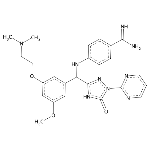 COc1cc(OCCN(C)C)cc(C(Nc2ccc(C(=N)N)cc2)c2nn(-c3ncccn3)c(=O)[nH]2)c1